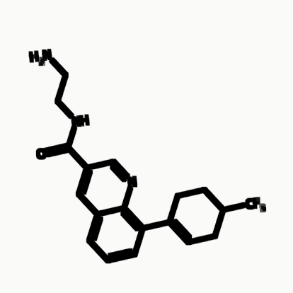 NCCNC(=O)c1cnc2c(C3=CCC(C(F)(F)F)CC3)cccc2c1